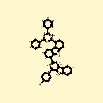 Fc1ccc(-c2nc(-c3cccc4c3oc3cccc(-c5nc(-c6ccccc6)nc(-c6ccccc6)n5)c34)nc3c2sc2ccccc23)cc1